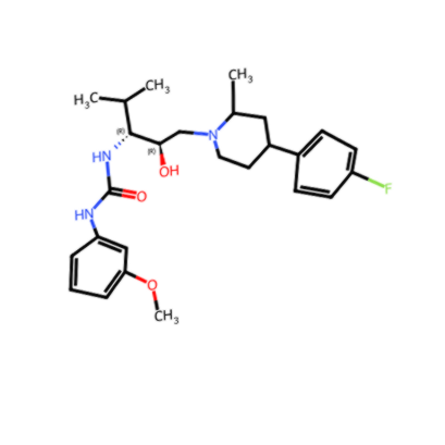 COc1cccc(NC(=O)N[C@H](C(C)C)[C@H](O)CN2CCC(c3ccc(F)cc3)CC2C)c1